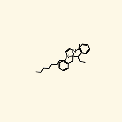 CCCCCCCCN1C=CN(CC)C1(Cc1ccccc1)C(CC)c1ccccc1